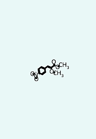 COC(=O)C(=Cc1ccc([N+](=O)[O-])cc1)OC